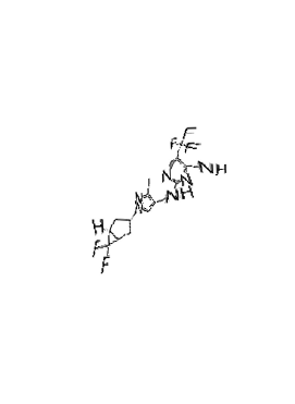 CNc1nc(Nc2cn(C3CC4[C@H](C3)C4(F)F)nc2C)ncc1C(F)(F)F